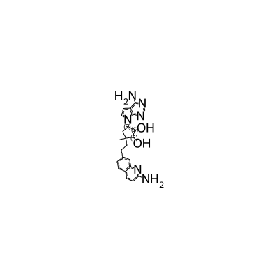 CC1(CCc2ccc3ccc(N)nc3c2)C[C@@H](n2ccc3c(N)ncnc32)[C@H](O)[C@@H]1O